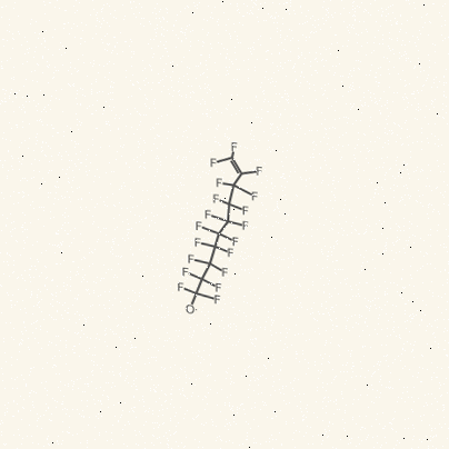 [O]C(F)(F)C(F)(F)C(F)(F)C(F)(F)C(F)(F)C(F)(F)C(F)(F)C(F)(F)C(F)=C(F)F